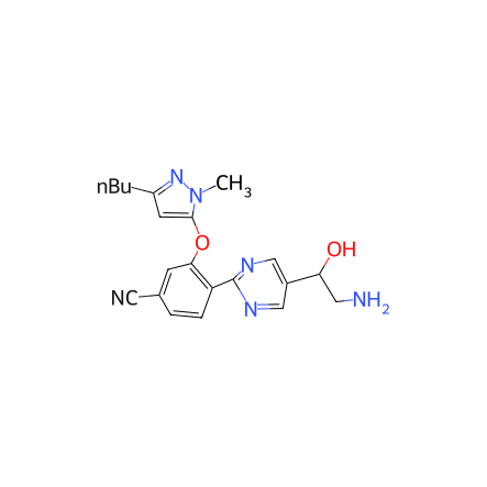 CCCCc1cc(Oc2cc(C#N)ccc2-c2ncc(C(O)CN)cn2)n(C)n1